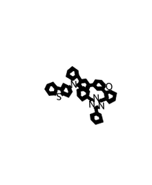 c1ccc(-c2nc(-c3ccccc3)nc(-c3cccc4oc5ccc(-c6ccc7c(c6)c6ccccc6n7-c6ccc7sc8ccccc8c7c6)cc5c34)n2)cc1